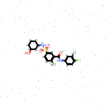 O=C(Nc1ccc(F)c(Cl)c1)c1cc(S(=O)(=O)NC2CCCC(O)C2)ccc1Cl